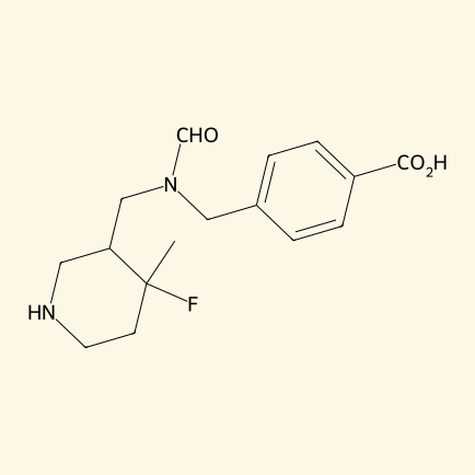 CC1(F)CCNCC1CN(C=O)Cc1ccc(C(=O)O)cc1